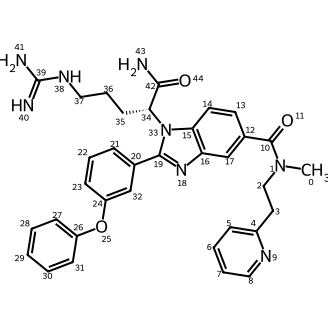 CN(CCc1ccccn1)C(=O)c1ccc2c(c1)nc(-c1cccc(Oc3ccccc3)c1)n2[C@H](CCCNC(=N)N)C(N)=O